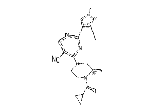 Cc1nn(C)cc1-c1ncc(C#N)c(N2CCN(C(=O)C3CC3)[C@H](C)C2)n1